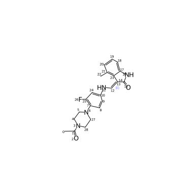 CC(=O)N1CCN(c2ccc(N/C=C3/C(=O)Nc4cccc(C)c43)cc2F)CC1